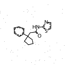 O=C(CC1(c2ccccc2)CCCC1)Nc1nccs1